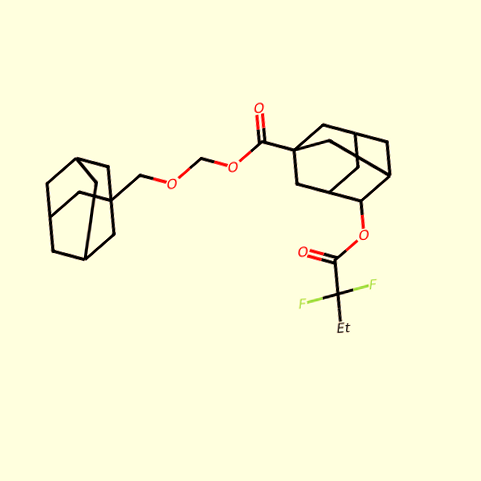 CCC(F)(F)C(=O)OC1C2CC3CC1CC(C(=O)OCOCC14CC5CC(CC(C5)C1)C4)(C3)C2